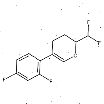 Fc1ccc(C2=COC(C(F)F)CC2)c(F)c1